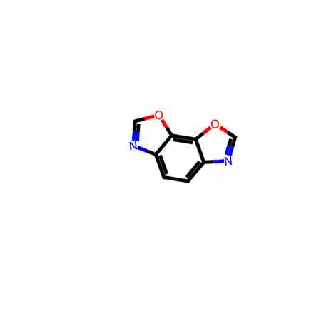 c1nc2ccc3ncoc3c2o1